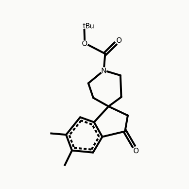 Cc1cc2c(cc1C)C1(CCN(C(=O)OC(C)(C)C)CC1)CC2=O